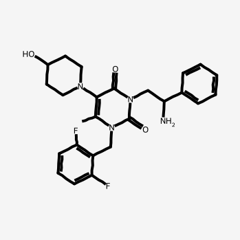 Cc1c(N2CCC(O)CC2)c(=O)n(CC(N)c2ccccc2)c(=O)n1Cc1c(F)cccc1F